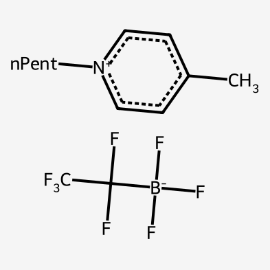 CCCCC[n+]1ccc(C)cc1.F[B-](F)(F)C(F)(F)C(F)(F)F